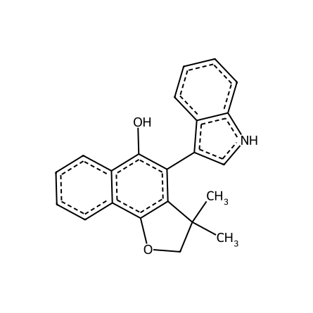 CC1(C)COc2c1c(-c1c[nH]c3ccccc13)c(O)c1ccccc21